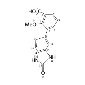 COc1c(C(=O)O)cccc1-c1ccc2[nH]c(=O)[nH]c2c1